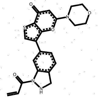 C=CC(=O)N1NCc2ccc(-c3csc4c(=O)cc(N5CCOCC5)oc34)cc21